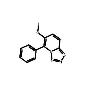 IOc1ccc2nnnn2c1-c1ccccc1